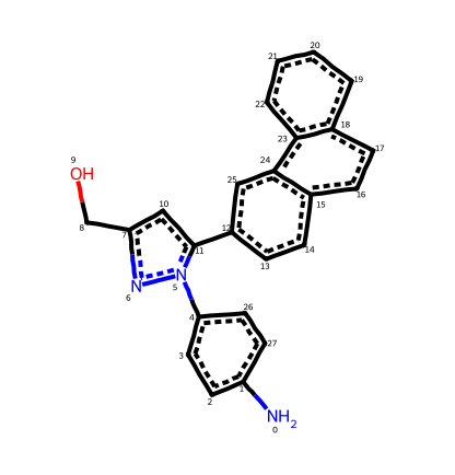 Nc1ccc(-n2nc(CO)cc2-c2ccc3ccc4ccccc4c3c2)cc1